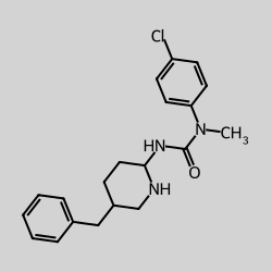 CN(C(=O)NC1CCC(Cc2ccccc2)CN1)c1ccc(Cl)cc1